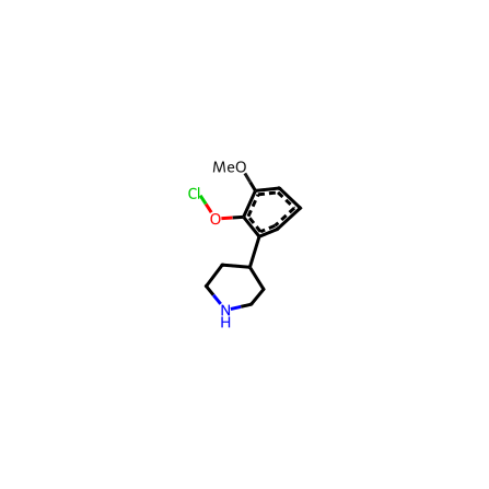 COc1cccc(C2CCNCC2)c1OCl